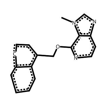 Cn1cnc2ccnc(OCc3cccc4ccccc34)c21